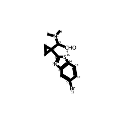 CN(C)C(C=O)C1(c2nc3cc(Br)ccc3s2)CC1